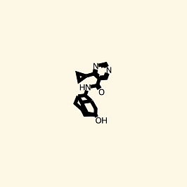 O=C(NC1C2CC3CC1CC(O)(C3)C2)c1cncnc1C1CC1